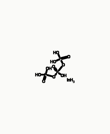 O=P(O)(O)OP(=O)(O)OP(=O)(O)O.[InH3]